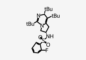 CC(C)(C)C1=N[C@@H](C(C)(C)C)C(C(C)(C)C)=C2C[C@H](NS(=O)(=O)c3ccccc3F)CN12